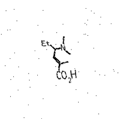 CCC(C=C(C)C(=O)O)N(C)C